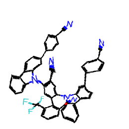 N#Cc1ccc(-c2ccc3c4ccccc4n(-c4cc(-c5c(C#N)cccc5C(F)(F)F)c(-n5c6ccccc6c6ccc(-c7ccc(C#N)cc7)cc65)cc4C#N)c3c2)cc1